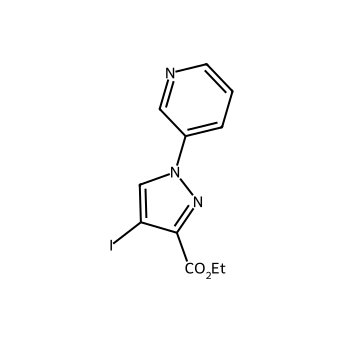 CCOC(=O)c1nn(-c2cccnc2)cc1I